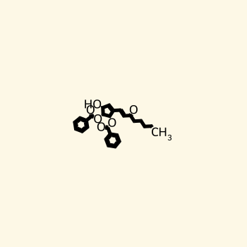 CCCCCC(=O)C=CC1=C[C@@H](O)[C@H](OC(=O)c2ccccc2)[C@H]1OC(=O)c1ccccc1